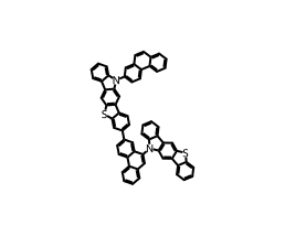 c1ccc2c(c1)ccc1cc(-n3c4ccccc4c4cc5sc6cc(-c7ccc8c(c7)c(-n7c9ccccc9c9cc%10sc%11ccccc%11c%10cc97)cc7ccccc78)ccc6c5cc43)ccc12